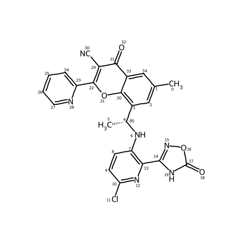 Cc1cc([C@@H](C)Nc2ccc(Cl)nc2-c2noc(=O)[nH]2)c2oc(-c3ccccn3)c(C#N)c(=O)c2c1